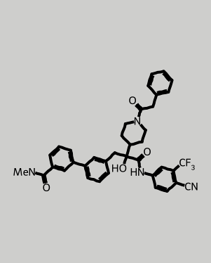 CNC(=O)c1cccc(-c2cccc(CC(O)(C(=O)Nc3ccc(C#N)c(C(F)(F)F)c3)C3CCN(C(=O)Cc4ccccc4)CC3)c2)c1